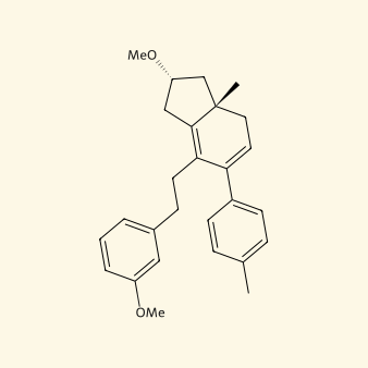 COc1cccc(CCC2=C3C[C@H](OC)C[C@]3(C)CC=C2c2ccc(C)cc2)c1